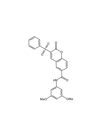 COc1cc(NC(=O)c2ccc3oc(=O)c(S(=O)(=O)c4ccccc4)cc3c2)cc(OC)c1